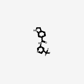 O=C(Nc1cncc(C(F)(F)F)c1)c1ccc2c(c1)NCC2